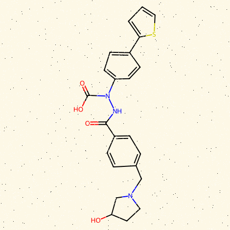 O=C(NN(C(=O)O)c1ccc(-c2cccs2)cc1)c1ccc(CN2CCC(O)C2)cc1